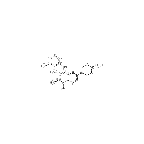 CC(=O)N1c2ccc(N3CCN(C(=O)O)CC3)cc2[C@H](Nc2nccc(C)n2)[C@@H](C)[C@@H]1C